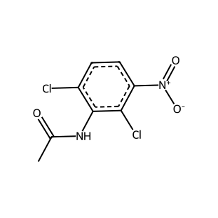 CC(=O)Nc1c(Cl)ccc([N+](=O)[O-])c1Cl